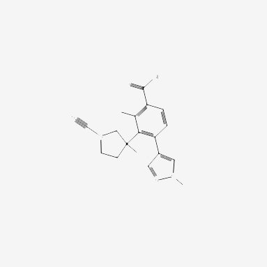 Cn1cc(-c2ccc(C(N)=O)c(F)c2C2(C)CCN(C#N)C2)cn1